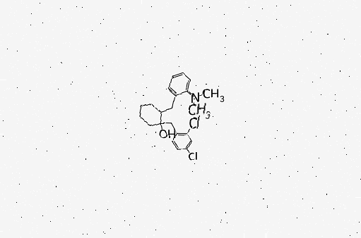 CN(C)c1ccccc1CC1CCCCC1(O)Cc1ccc(Cl)cc1Cl